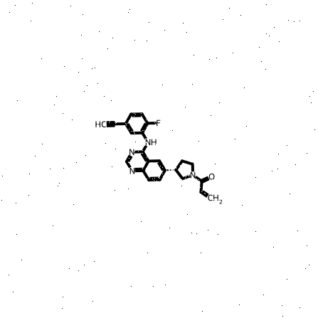 C#Cc1ccc(F)c(Nc2ncnc3ccc([C@@H]4CCN(C(=O)C=C)C4)cc23)c1